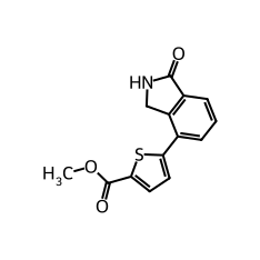 COC(=O)c1ccc(-c2cccc3c2CNC3=O)s1